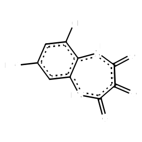 Cc1cc(C)c2[nH]c(=O)c(=O)c(=O)[nH]c2c1